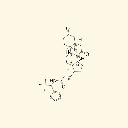 C[C@H](CC(=O)NC(c1cccs1)C(C)(C)C)C1CC[C@H]2[C@@H]3C(=O)C[C@@H]4CC(=O)CC[C@]4(C)[C@H]3CC[C@]12C